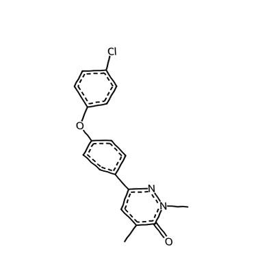 Cc1cc(-c2ccc(Oc3ccc(Cl)cc3)cc2)nn(C)c1=O